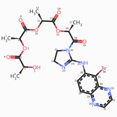 C[C@H](O)C(=O)O[C@@H](C)C(=O)O[C@@H](C)C(=O)O[C@@H](C)C(=O)N1CCN=C1Nc1ccc2nccnc2c1Br